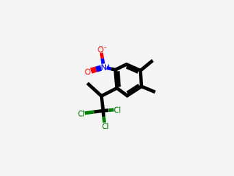 Cc1cc(C(C)C(Cl)(Cl)Cl)c([N+](=O)[O-])cc1C